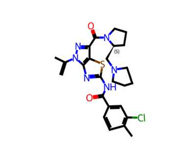 C=C(C)n1nc(C(=O)N2CCC[C@H]2CN2CCCC2)c2sc(NC(=O)c3ccc(C)c(Cl)c3)nc21